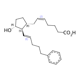 O=C(O)CCC/C=C\C[C@H]1CC[C@@H](O)[C@@H]1/C=C/CCCc1ccccc1